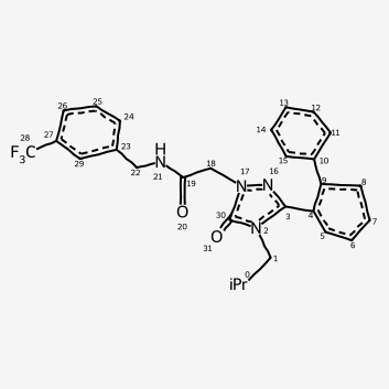 CC(C)Cn1c(-c2ccccc2-c2ccccc2)nn(CC(=O)NCc2cccc(C(F)(F)F)c2)c1=O